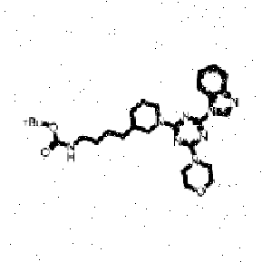 CC(C)(C)OC(=O)NCCCCC1CCCN(c2nc(N3CCOCC3)nc(-n3cnc4ccccc43)n2)C1